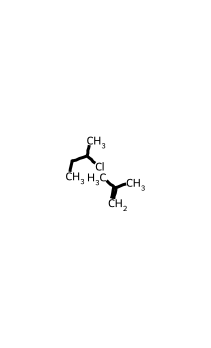 C=C(C)C.CCC(C)Cl